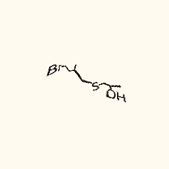 C/C(=C\CSCC(C)O)CCBr